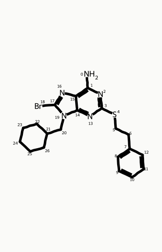 Nc1nc(SCCc2ccccc2)nc2c1nc(Br)n2CC1CCCCC1